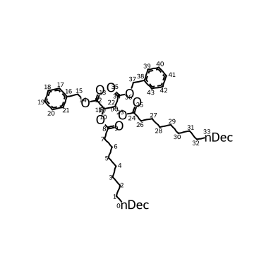 CCCCCCCCCCCCCCCCCC(=O)O[C@@H](C(=O)OCc1ccccc1)[C@@H](OC(=O)CCCCCCCCCCCCCCCCC)C(=O)OCc1ccccc1